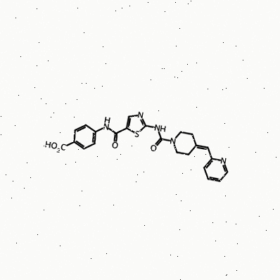 O=C(O)c1ccc(NC(=O)c2cnc(NC(=O)N3CCC(=Cc4ccccn4)CC3)s2)cc1